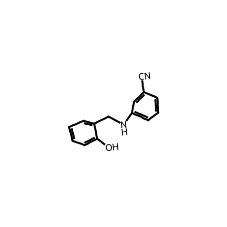 N#Cc1cccc(NCc2ccccc2O)c1